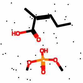 CCC=C(C)C(=O)O.COP(=O)(O)OC